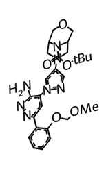 COCOc1ccccc1-c1cc(-n2cc(N3CC4COCC(C3)N4C(=O)OC(C)(C)C)cn2)c(N)nn1